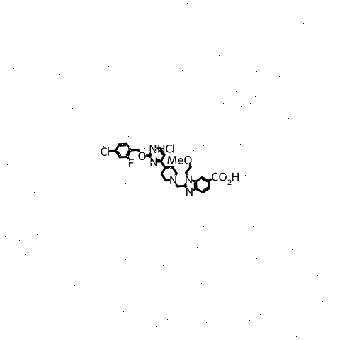 COCCn1c(CN2CCC(c3ccnc(OCc4ccc(Cl)cc4F)n3)CC2)nc2ccc(C(=O)O)cc21.Cl